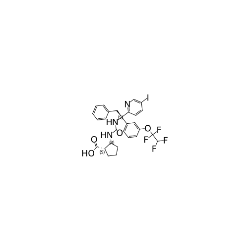 O=C(N[C@@H]1CCC[C@@H]1C(=O)O)N[C@@](Cc1ccccc1)(c1cccc(OC(F)(F)C(F)F)c1)c1ccc(I)cn1